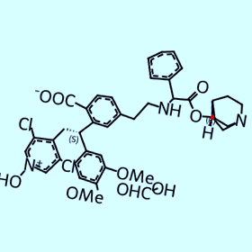 COc1ccc([C@H](Cc2c(Cl)c[n+](O)cc2Cl)c2cc(CCNC(C(=O)O[C@H]3CN4CCC3CC4)c3ccccc3)ccc2C(=O)[O-])cc1OC.O=CO